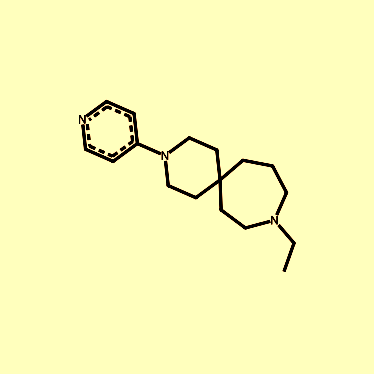 CCN1CCCC2(CC1)CCN(c1ccncc1)CC2